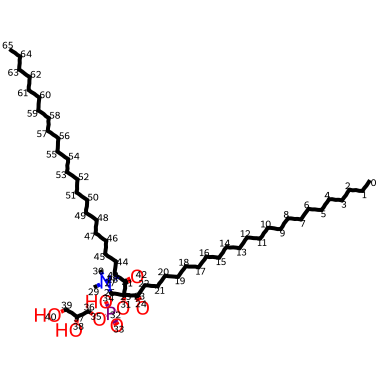 CCCCCCCCCCCCCCCCCCCCCCCC(=O)C(C[N+](C)(C)C)(OP(=O)(O)OCC(O)CO)C(=O)CCCCCCCCCCCCCCCCCCCCCCC